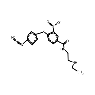 CCNCCNC(=O)c1ccc(Sc2ccc(N=[N+]=[N-])cc2)c([N+](=O)[O-])c1